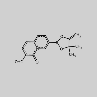 C=C1OB(c2ccc3ccc(C=O)c(=O)n3c2)OC1(C)C